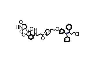 O=C1CCC(N2C(=O)c3cccc(NCCC(=O)N4CCN(CCOc5ccc(/C(=C(/CCCl)c6ccccc6)c6ccccc6)cc5)CC4)c3C2=O)C(=O)N1